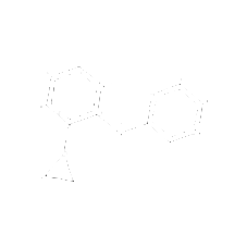 c1cnc(Nc2cnccn2)c(C2CC2)c1